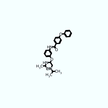 CC(C)NCC(NC(C)C)Oc1cccc(NC(=O)c2ccc(Oc3ccccc3)cc2)c1